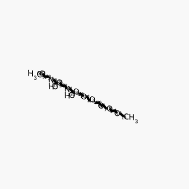 CCCOCCOCCOCCOCCOCCOC(=O)CNCCOC(=O)CNCCOC